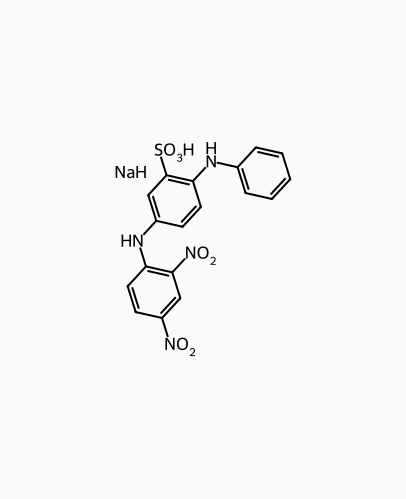 O=[N+]([O-])c1ccc(Nc2ccc(Nc3ccccc3)c(S(=O)(=O)O)c2)c([N+](=O)[O-])c1.[NaH]